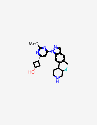 COc1nc(-n2ncc3cc(C)c(C4CCNCC4F)cc32)cc([C@H]2C[C@@H](O)C2)n1